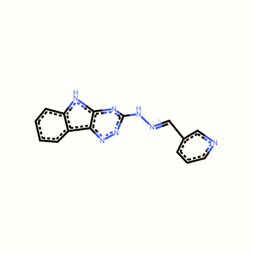 C(=N\Nc1nnc2c(n1)[nH]c1ccccc12)/c1cccnc1